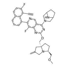 C#Cc1c(F)ccc2cccc(-c3ncc4c(N5CC6CCC(C5)N6)nc(OC[C@]56CC[C@@H](COC)N5CC(=C)C6)nc4c3F)c12